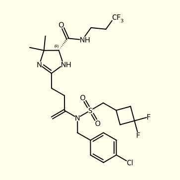 C=C(CCC1=NC(C)(C)[C@H](C(=O)NCCC(F)(F)F)N1)N(Cc1ccc(Cl)cc1)S(=O)(=O)CC1CC(F)(F)C1